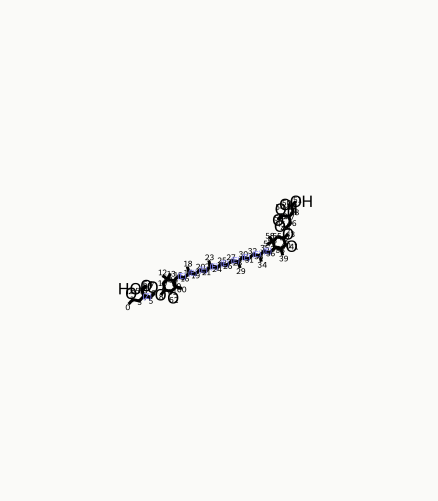 CC(=O)C/C(=C/C(=O)OC1CC(C)(C)C(/C=C/C(C)=C/C=C/C(C)=C/C=C/C=C(C)/C=C/C=C(C)/C=C/C2=C(C)C(=O)C(OC(=O)CC(CC(=O)O)C(=O)O)CC2(C)C)=C(C)C1=O)C(=O)O